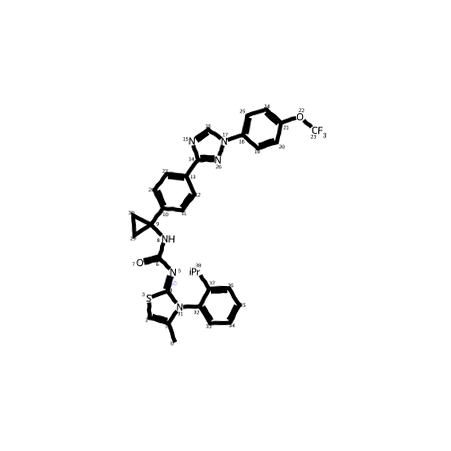 Cc1cs/c(=N\C(=O)NC2(c3ccc(-c4ncn(-c5ccc(OC(F)(F)F)cc5)n4)cc3)CC2)n1-c1ccccc1C(C)C